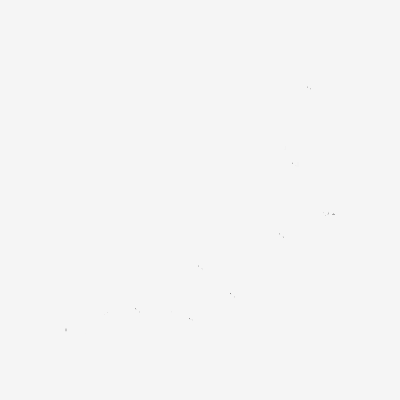 COc1nc(-c2cnc(NC3CN(C(=O)OC(C)(C)C)C3)nc2)ccc1NC(=O)c1c(-c2ccccc2)noc1C